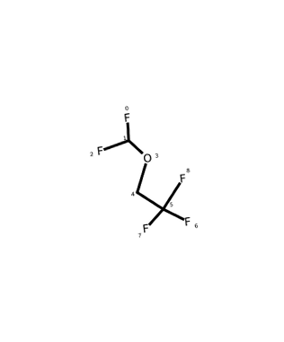 FC(F)OCC(F)(F)F